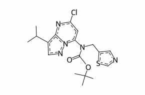 CC(C)c1cnn2c(N(Cc3cncs3)C(=O)OC(C)(C)C)cc(Cl)nc12